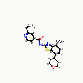 C=Cc1cc(C(=O)Nc2nc3c(OC)ccc(C4CCOCC4)c3s2)ccn1